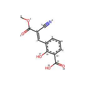 COC(=O)/C(C#N)=C/c1cccc(C(=O)O)c1O